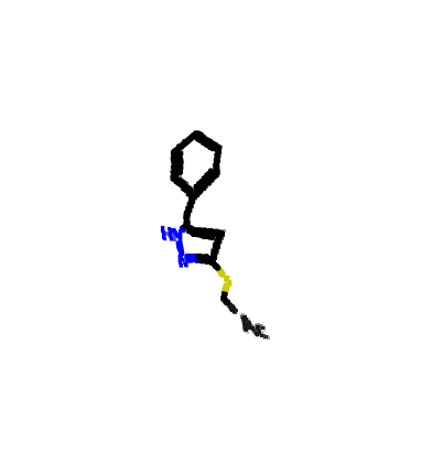 CC(=O)CSc1cc(-c2ccccc2)[nH]n1